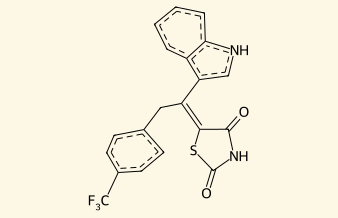 O=C1NC(=O)/C(=C(/Cc2ccc(C(F)(F)F)cc2)c2c[nH]c3ccccc23)S1